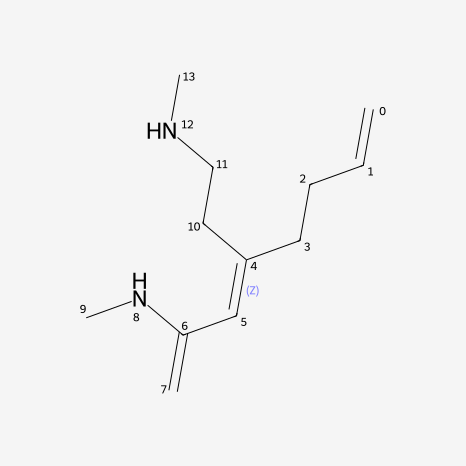 C=CCC/C(=C/C(=C)NC)CCNC